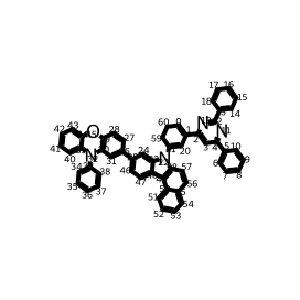 C1=C(c2cc(-c3ccccc3)nc(-c3ccccc3)n2)C=C(n2c3cc(-c4ccc5c(c4)N(c4ccccc4)c4ccccc4O5)ccc3c3c4ccccc4ccc32)CC1